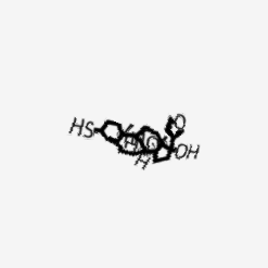 C[C@]12CCC(S)C=C1CC[C@@H]1[C@H]2CC[C@]2(C)C(O)(c3ccoc3)CC[C@@]12O